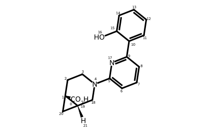 O=C(O)[C@@]12CCN(c3cccc(-c4ccccc4O)n3)C[C@@H]1C2